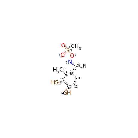 Cc1c(C(C#N)=NOS(C)(=O)=O)ccc(S)c1S